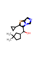 CC1(C)CC[C@H](C(O)c2c(C3CC3)sc3cncn23)C1